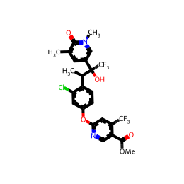 COC(=O)c1cnc(Oc2ccc(C(C)C(O)(c3cc(C)c(=O)n(C)c3)C(F)(F)F)c(Cl)c2)cc1C(F)(F)F